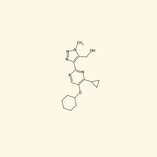 Cn1nnc(-c2ncc(OC3CCCCC3)c(C3CC3)n2)c1CO